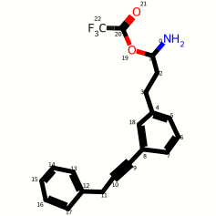 NC(CCc1cccc(C#CCc2ccccc2)c1)OC(=O)C(F)(F)F